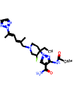 COC(=O)Nc1nn(C2(CC#N)CCN(C/C(C)=C/C=C(\C)n3nccn3)CC2F)cc1C(N)=O